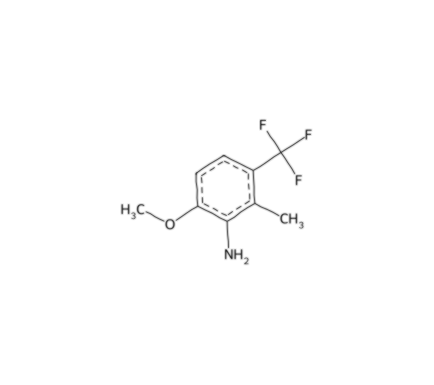 COc1ccc(C(F)(F)F)c(C)c1N